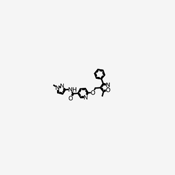 Cc1onc(-c2ccccc2)c1COc1ccc(C(=O)Nc2ccn(C)n2)cn1